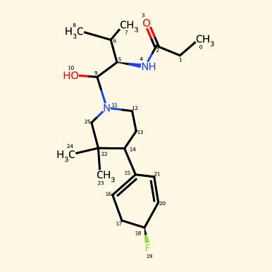 CCC(=O)N[C@H](C(C)C)C(O)N1CCC(C2=CC[C@H](F)C=C2)C(C)(C)C1